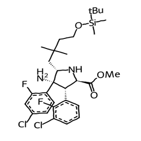 COC(=O)[C@@H]1N[C@@H](CC(C)(C)CCO[Si](C)(C)C(C)(C)C)[C@](N)(c2ccc(Cl)cc2F)[C@H]1c1cccc(Cl)c1F